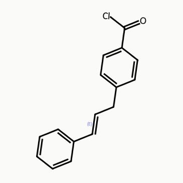 O=C(Cl)c1ccc(C/C=C/c2ccccc2)cc1